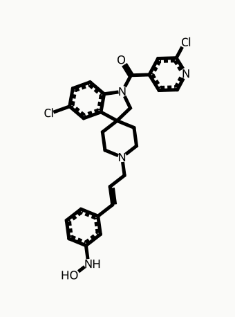 O=C(c1ccnc(Cl)c1)N1CC2(CCN(C/C=C/c3cccc(NO)c3)CC2)c2cc(Cl)ccc21